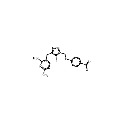 Cc1ncc(Cn2nnc(COc3ccc([N+](=O)[O-])cc3)c2I)c(N)n1